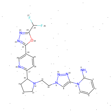 NC1C=CC=CN1c1cn(CCN2CCCC2c2ccc(-c3nnc(C(F)F)o3)cn2)nn1